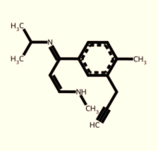 C#CCc1cc(C(/C=C\NC)=N/C(C)C)ccc1C